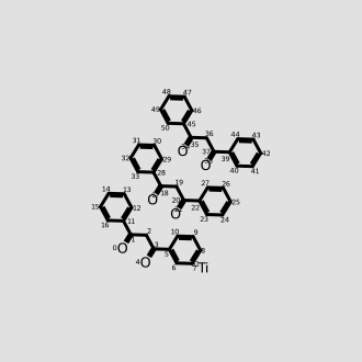 O=C(CC(=O)c1ccccc1)c1ccccc1.O=C(CC(=O)c1ccccc1)c1ccccc1.O=C(CC(=O)c1ccccc1)c1ccccc1.[Ti]